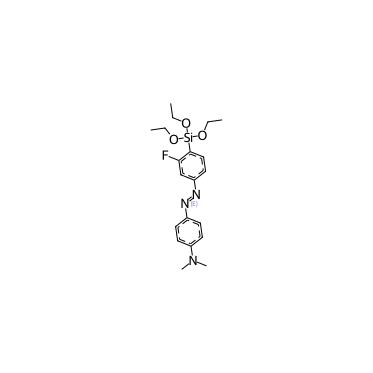 CCO[Si](OCC)(OCC)c1ccc(/N=N/c2ccc(N(C)C)cc2)cc1F